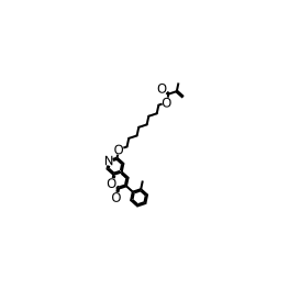 C=C(C)C(=O)OCCCCCCCCOc1cc2cc(-c3ccccc3C)c(=O)oc2cn1